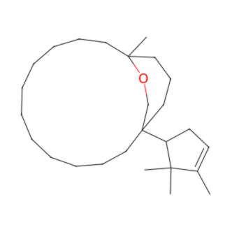 CC1=CCC(C23CCCCCCCCCCCC(C)(CCC2)OC3)C1(C)C